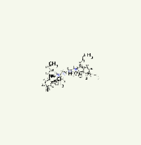 CCCCN1/C(=C/C=C/C=C/C=C/C2=[N+](CCCC)c3ccc(Br)cc3C2(C)C)C(C)(C)c2cc(C)ccc21